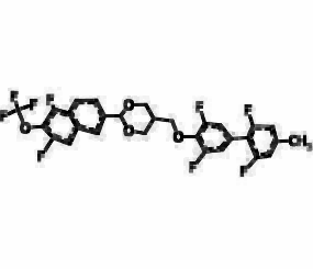 Cc1cc(F)c(-c2cc(F)c(OCC3COC(c4ccc5c(F)c(OC(F)(F)F)c(F)cc5c4)OC3)c(F)c2)c(F)c1